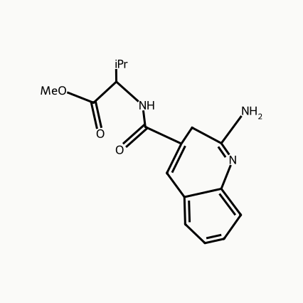 COC(=O)C(NC(=O)C1=Cc2ccccc2N=C(N)C1)C(C)C